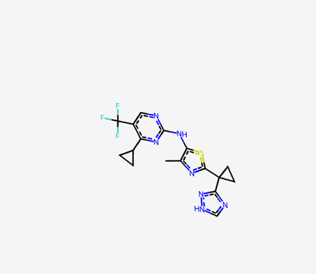 Cc1nc(C2(c3nc[nH]n3)CC2)sc1Nc1ncc(C(F)(F)F)c(C2CC2)n1